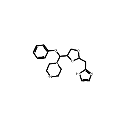 c1ccc(OC(C2COC(Cc3ncc[nH]3)O2)N2CCNCC2)cc1